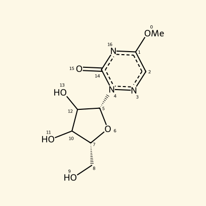 COc1cnn([C@@H]2O[C@H](CO)C(O)C2O)c(=O)n1